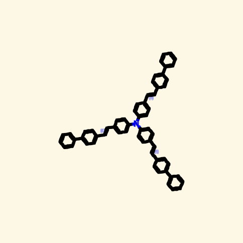 C(=C\c1ccc(N(c2ccc(/C=C/c3ccc(-c4ccccc4)cc3)cc2)c2ccc(/C=C/c3ccc(-c4ccccc4)cc3)cc2)cc1)/c1ccc(-c2ccccc2)cc1